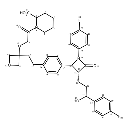 O=C(O)C1CCCCN1C(=O)COC1(CCc2ccc(C3[C@@H](CCC(O)c4ccc(F)cc4)C(=O)N3c3ccc(F)cc3)cc2)COC1